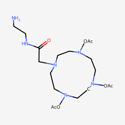 CC(=O)ON1CCN(CC(=O)NCCN)CCN(OC(C)=O)CCN(OC(C)=O)CC1